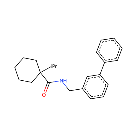 CC(C)C1(C(=O)NCc2cccc(-c3ccccc3)c2)CCCCC1